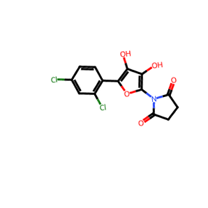 O=C1CCC(=O)N1c1oc(-c2ccc(Cl)cc2Cl)c(O)c1O